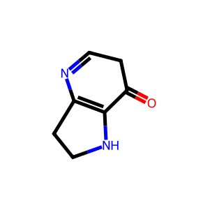 O=C1CC=NC2=C1NCC2